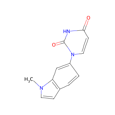 Cn1ccc2ccc(-n3ccc(=O)[nH]c3=O)cc21